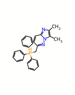 Cc1nc2ccc(C[PH](c3ccccc3)(c3ccccc3)c3ccccc3)nn2c1C